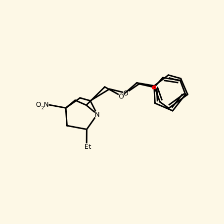 CCC1CC2([N+](=O)[O-])CC(COCc3ccccc3)N1C(COCc1ccccc1)C2